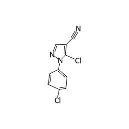 N#Cc1cnn(-c2ccc(Cl)cc2)c1Cl